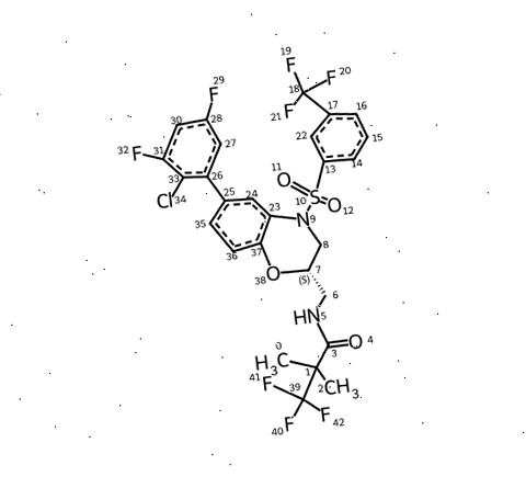 CC(C)(C(=O)NC[C@H]1CN(S(=O)(=O)c2cccc(C(F)(F)F)c2)c2cc(-c3cc(F)cc(F)c3Cl)ccc2O1)C(F)(F)F